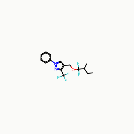 CCC(C)C(F)(F)OCc1cn(-c2ccccc2)nc1C(F)(F)F